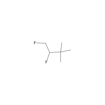 CC(C)(C)C(F)CF